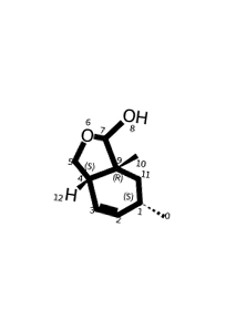 C[C@@H]1C=C[C@@H]2COC(O)[C@]2(C)C1